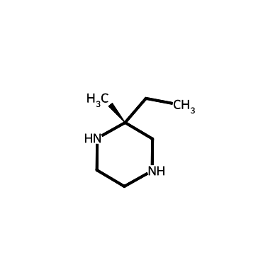 CC[C@]1(C)CNCCN1